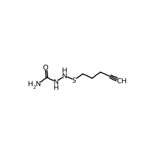 C#CCCCSNNC(N)=O